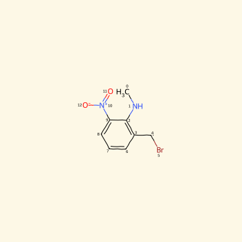 CNc1c([CH]Br)cccc1[N+](=O)[O-]